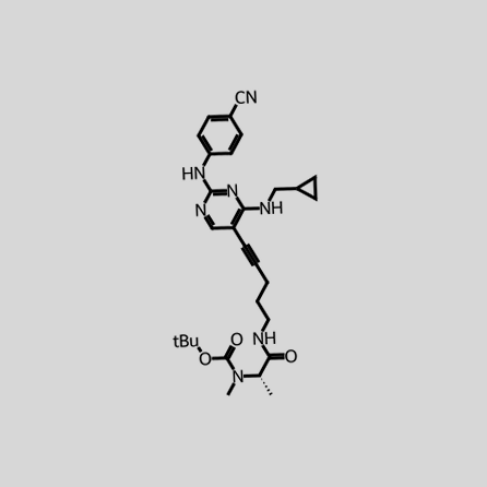 C[C@@H](C(=O)NCCCC#Cc1cnc(Nc2ccc(C#N)cc2)nc1NCC1CC1)N(C)C(=O)OC(C)(C)C